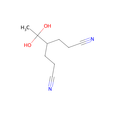 CC(O)(O)C(CCC#N)CCC#N